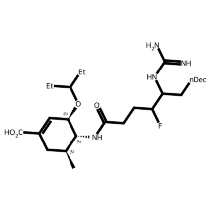 CCCCCCCCCCCC(NC(=N)N)C(F)CCC(=O)N[C@@H]1[C@@H](C)CC(C(=O)O)=C[C@H]1OC(CC)CC